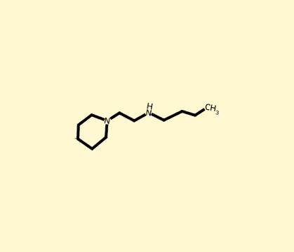 CCCCNCCN1CC[CH]CC1